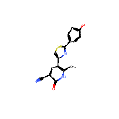 Cc1[nH]c(=O)c(C#N)cc1-c1csc(-c2ccc(O)cc2)n1